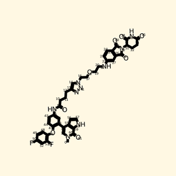 Cn1cc(-c2cc(NC(=O)CCCc3cn(CCOCCNc4ccc5c(c4)C(=O)N(C4CCC(=O)NC4=O)C5=O)nn3)ccc2Oc2ccc(F)cc2F)c2cc[nH]c2c1=O